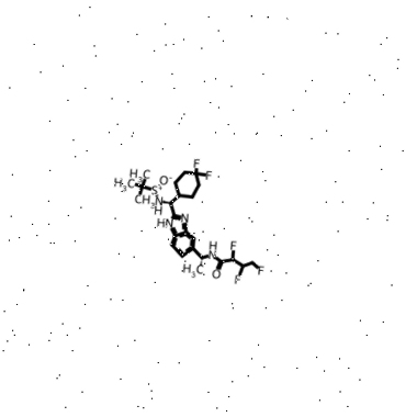 C[C@@H](NC(=O)C(F)C(F)CF)c1ccc2[nH]c([C@@H](N[S@+]([O-])C(C)(C)C)C3CCC(F)(F)CC3)nc2c1